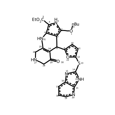 CCCCOc1[nH]c(C(=O)OCC)c2c1C(c1ccc(Sc3nc4cccnc4[nH]3)o1)C1=C(CNCC1=O)N2